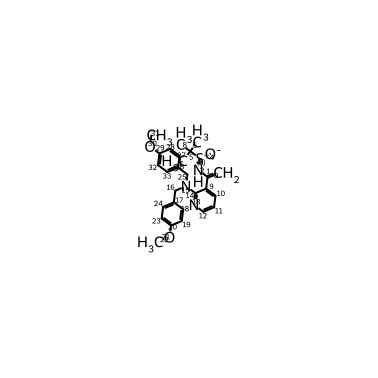 C=C(N[S@+]([O-])C(C)(C)C)c1cccnc1N(Cc1ccc(OC)cc1)Cc1ccc(OC)cc1